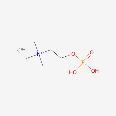 C[N+](C)(C)CCOP(=O)(O)O.[C+4]